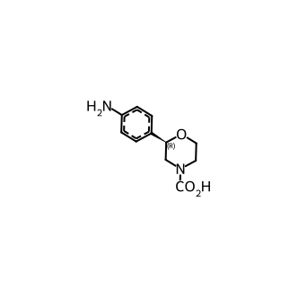 Nc1ccc([C@@H]2CN(C(=O)O)CCO2)cc1